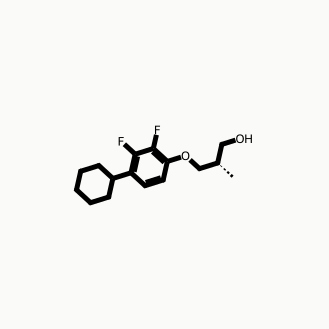 C[C@@H](CO)COc1ccc(C2CCCCC2)c(F)c1F